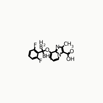 BC(B)(Oc1cccn2c(C(=O)O)c(C)nc12)c1c(F)cccc1F